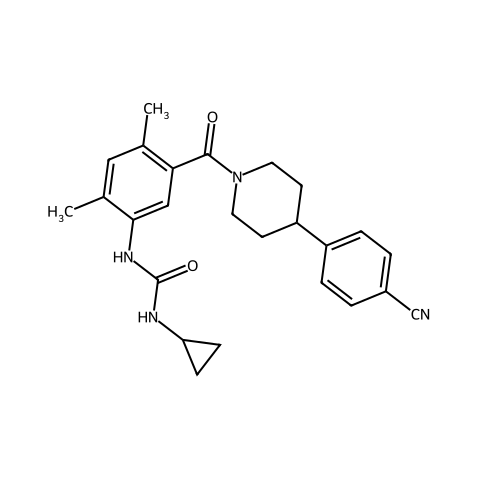 Cc1cc(C)c(C(=O)N2CCC(c3ccc(C#N)cc3)CC2)cc1NC(=O)NC1CC1